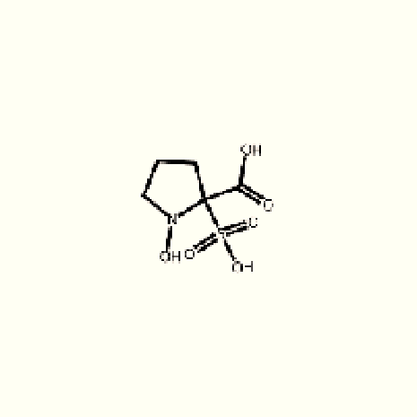 O=C(O)C1(S(=O)(=O)O)CCCN1O